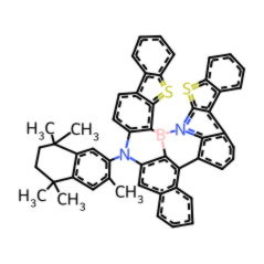 Cc1cc2c(cc1N1c3cc4ccccc4c4c3B(c3c1ccc1c3sc3ccccc31)n1c3sc5ccccc5c3c3cccc-4c31)C(C)(C)CCC2(C)C